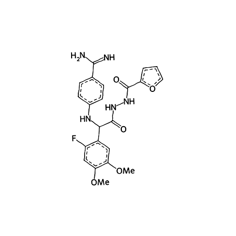 COc1cc(F)c(C(Nc2ccc(C(=N)N)cc2)C(=O)NNC(=O)c2ccco2)cc1OC